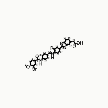 COc1ccc(C(=O)Nc2ccc(CNc3ccc(-c4nc5cc(CC(=O)O)ccc5o4)cc3F)cc2)cc1Br